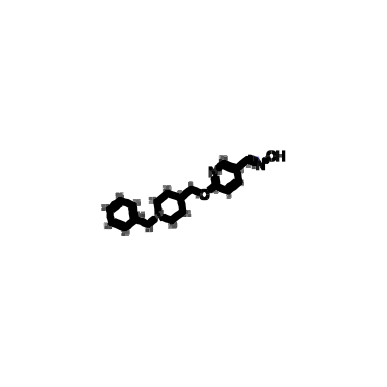 O/N=C/c1ccc(OCC2CCN(Cc3ccccc3)CC2)nc1